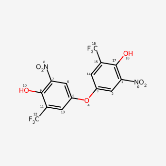 O=[N+]([O-])c1cc(Oc2cc([N+](=O)[O-])c(O)c(C(F)(F)F)c2)cc(C(F)(F)F)c1O